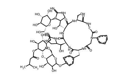 CC(C)CC(=O)O[C@@H]1[C@@H](O[C@H]2[C@H](O)[C@H](O)C(Oc3ccc(C[C@H]4NC(=O)CN(c5ccccc5)C(=O)CNC(=O)[C@H](CO)NC(=O)[C@@H](C(O)C5CNC(=N)N5[C@H]5O[C@H](CO)[C@@H](O)[C@H](O)[C@@H]5O)NC(=O)[C@H](C(O)C5CNC(=N)N5)NC4=O)cc3)O[C@@H]2CO)O[C@H](CO)[C@@H](O)[C@@H]1O